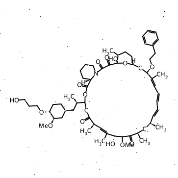 COC1C(=O)[C@H](C)C[C@H](C)/C=C/C=C/C=C(\C)C(OCCc2ccccc2)C[C@@H]2CCC(C)[C@@](O)(O2)C(=O)C(=O)N2CCCC[C@H]2C(=O)OC([C@H](C)C[C@@H]2CC[C@@H](OCCCO)[C@H](OC)C2)CC(=O)[C@H](C)/C=C(\C)[C@H]1O